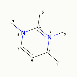 CC1=[N+](C)C(C)C=CN1C